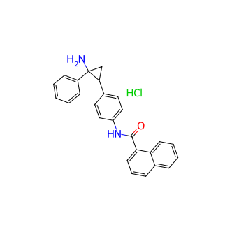 Cl.NC1(c2ccccc2)CC1c1ccc(NC(=O)c2cccc3ccccc23)cc1